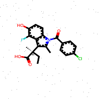 CC[C@@](C)(C(=O)O)c1c(C)n(C(=O)c2ccc(Cl)cc2)c2ccc(O)c(F)c12